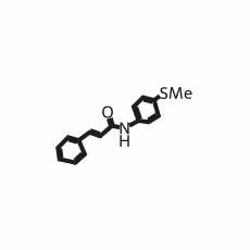 CSc1ccc(NC(=O)/C=C/c2ccccc2)cc1